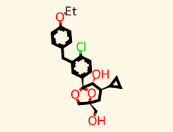 CCOc1ccc(Cc2cc([C@@]34OC[C@@](CO)(C[C@H](C5CC5)[C@H]3O)O4)ccc2Cl)cc1